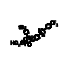 C[C@@H](NC(=O)[C@H](Cc1ccc(-c2ncc(-c3ccc(C(F)(F)F)cc3)cn2)cc1)NC(=O)c1ccc(C(C)(C)C)cc1)C(=O)O